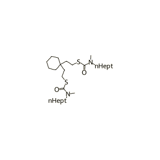 CCCCCCCN(C)C(=O)SCCC1(CCSC(=O)N(C)CCCCCCC)CCCCC1